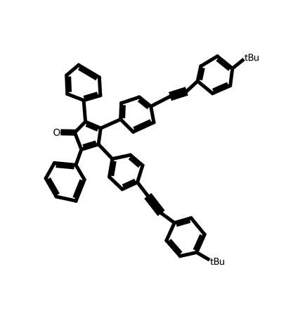 CC(C)(C)c1ccc(C#Cc2ccc(C3=C(c4ccccc4)C(=O)C(c4ccccc4)=C3c3ccc(C#Cc4ccc(C(C)(C)C)cc4)cc3)cc2)cc1